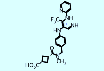 CN(Cc1ccc(N/C(C=N)=C(/Nc2ccccn2)C(F)(F)F)cc1)C(=O)[C@H]1C[C@H](C(=O)O)C1